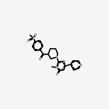 Cn1c(N2CCCC(C(=O)c3ccc(S(C)(=O)=O)cc3)C2)nc(-c2ccncc2)cc1=O